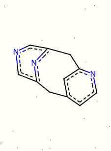 c1cc2cc(n1)Cc1cncc(n1)C2